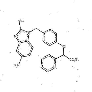 CCCCc1nc2cc(N)ccc2n1Cc1ccc(OC(C(=O)OCC)c2ccccc2)cc1